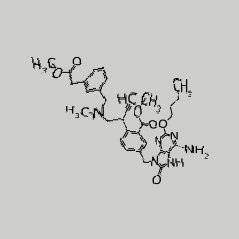 C#CC(CN(C)Cc1cccc(CC(=O)OC)c1)c1ccc(Cn2c(=O)[nH]c3c(N)nc(OCCCC)nc32)cc1C(=O)OC